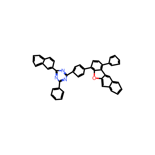 c1ccc(-c2nc(-c3ccc(-c4ccc(-c5ccccc5)c5c4oc4cc6ccccc6cc45)cc3)nc(-c3ccc4ccccc4c3)n2)cc1